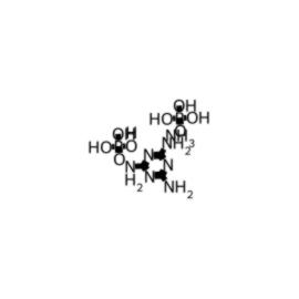 N.Nc1nc(N)nc(N)n1.O=P(O)(O)O.O=P(O)(O)O